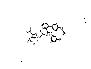 O=C(Cn1nc(C(F)F)c2c1C(F)(F)C1CC21)NC(Cc1cc(F)cc(F)c1)c1ncccc1-c1ccc(OC2CC2)cc1